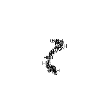 Cc1cnc(Nc2ccc(N3CCN(CC(=O)NCCCNc4ccc5c(c4)C(=O)N(C4CCC(=O)NC4=O)C5=O)CC3)cc2)nc1Nc1cccc([S+]([O-])NC(C)(C)C)c1